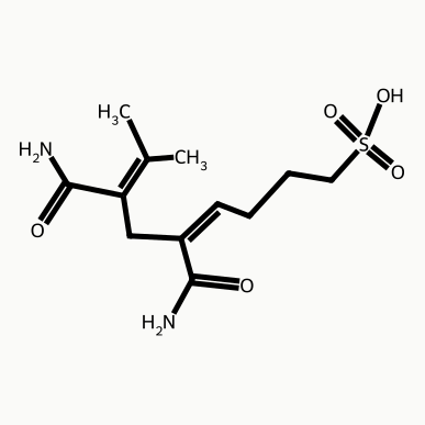 CC(C)=C(C/C(=C/CCCS(=O)(=O)O)C(N)=O)C(N)=O